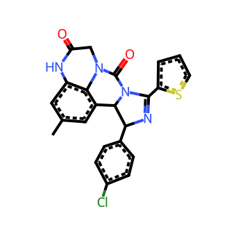 Cc1cc2c3c(c1)C1C(c4ccc(Cl)cc4)N=C(c4cccs4)N1C(=O)N3CC(=O)N2